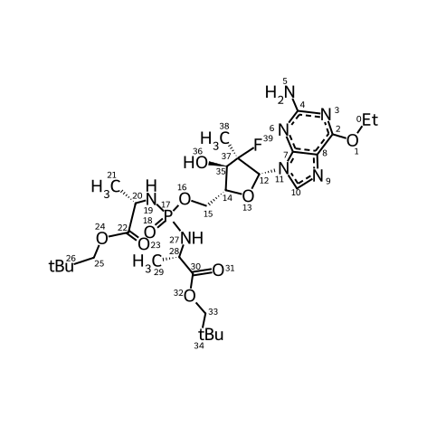 CCOc1nc(N)nc2c1ncn2[C@@H]1O[C@H](COP(=O)(N[C@@H](C)C(=O)OCC(C)(C)C)N[C@@H](C)C(=O)OCC(C)(C)C)[C@@H](O)[C@@]1(C)F